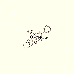 CC(C)(C)OC(=O)N1C2CCC1CC(OCc1ccc3ccccc3c1)C2